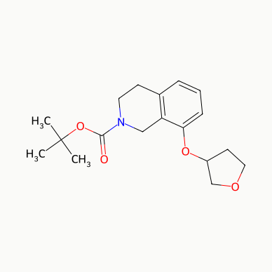 CC(C)(C)OC(=O)N1CCc2cccc(OC3CCOC3)c2C1